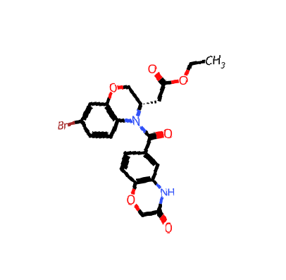 CCOC(=O)C[C@H]1COc2cc(Br)ccc2N1C(=O)c1ccc2c(c1)NC(=O)CO2